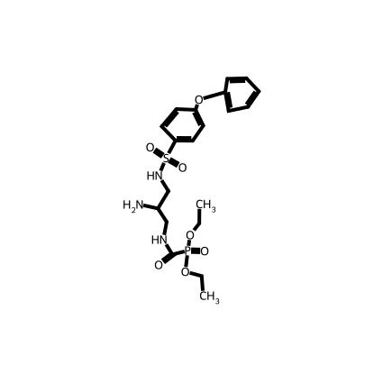 CCOP(=O)(OCC)C(=O)NCC(N)CNS(=O)(=O)c1ccc(Oc2ccccc2)cc1